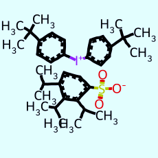 CC(C)(C)c1ccc([I+]c2ccc(C(C)(C)C)cc2)cc1.CC(C)c1ccc(S(=O)(=O)[O-])c(C(C)C)c1C(C)C